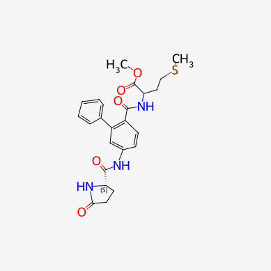 COC(=O)C(CCSC)NC(=O)c1ccc(NC(=O)[C@@H]2CCC(=O)N2)cc1-c1ccccc1